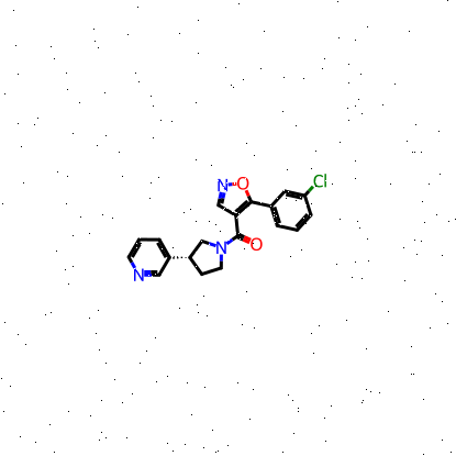 O=C(c1cnoc1-c1cccc(Cl)c1)N1CC[C@H](c2cccnc2)C1